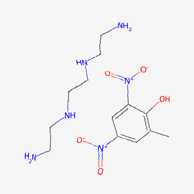 Cc1cc([N+](=O)[O-])cc([N+](=O)[O-])c1O.NCCNCCNCCN